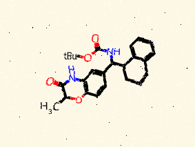 CC1Oc2ccc(C(NC(=O)OC(C)(C)C)C3CCCc4ccccc43)cc2NC1=O